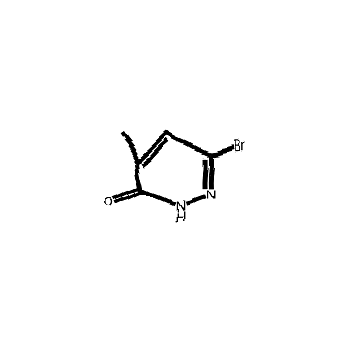 Cc1cc(Br)n[nH]c1=O